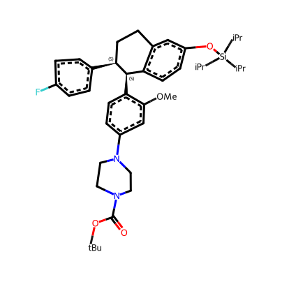 COc1cc(N2CCN(C(=O)OC(C)(C)C)CC2)ccc1[C@@H]1c2ccc(O[Si](C(C)C)(C(C)C)C(C)C)cc2CC[C@@H]1c1ccc(F)cc1